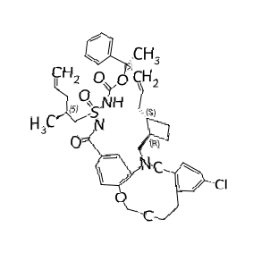 C=CC[C@H](C)CS(=O)(=NC(=O)c1ccc2c(c1)N(C[C@@H]1CC[C@H]1CC=C)Cc1ccc(Cl)cc1CCCCO2)NC(=O)O[C@@H](C)c1ccccc1